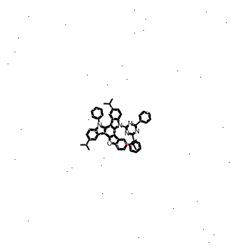 CC(C)c1ccc2oc3c4c5cc(C(C)C)ccc5n(-c5ccccc5)c4c4c5cc(C(C)C)ccc5n(-c5nc(-c6ccccc6)nc(-c6ccccc6)n5)c4c3c2c1